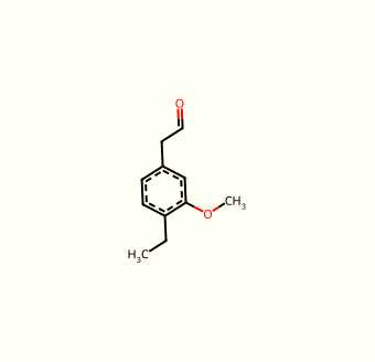 CCc1ccc(CC=O)cc1OC